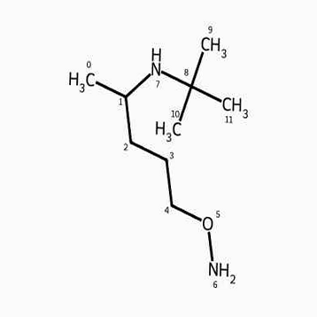 CC(CCCON)NC(C)(C)C